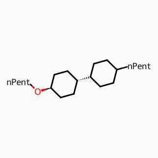 CCCCCO[C@H]1CC[C@H](C2CCC(CCCCC)CC2)CC1